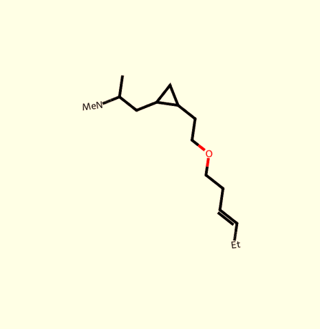 CCC=CCCOCCC1CC1CC(C)NC